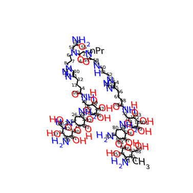 CCCN(CC(=O)N(CCCn1cc(CCCC(=O)NCC2OC(OC3C(N)CC(N)C(OC4OC(CO)C(O)C(N)C4O)C3O)C(O)C(O)C2O)nn1)CC(N)=O)C(=O)CNCCCn1cc(CCCC(=O)NCC2OC(OC3C(N)CC(N)C(OC4OC(CO)C(C)C(N)C4O)C3O)C(O)C(O)C2O)nn1